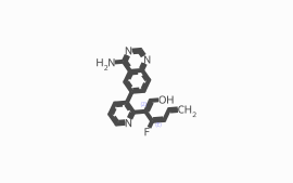 C=C/C=C(F)\C(=C/O)c1ncccc1-c1ccc2ncnc(N)c2c1